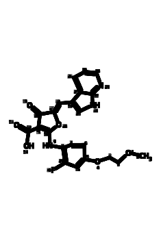 COCCOc1ccc(NC2=C(C(=O)O)C(=O)C(=Cc3c[nH]c4ncccc34)O2)c(F)c1